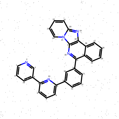 c1cncc(-c2cccc(-c3cccc(-c4nc5c(nc6ccccn65)c5ccccc45)c3)n2)c1